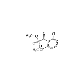 COP(=O)(OC)C(=O)c1c(Cl)cccc1Cl